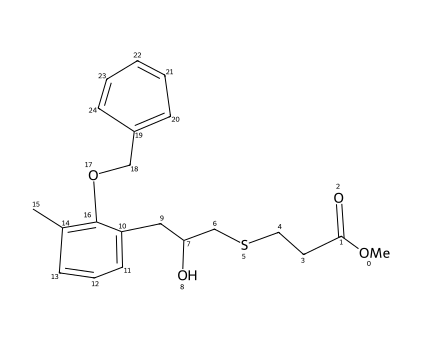 COC(=O)CCSCC(O)Cc1cccc(C)c1OCc1ccccc1